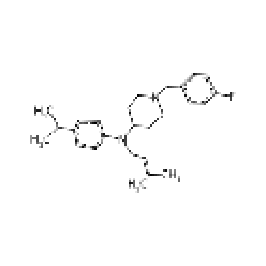 CC(C)=CCN(c1ccc(C(C)C)cc1)C1CCN(Cc2ccc(F)cc2)CC1